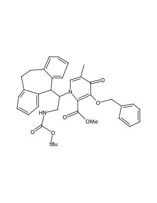 COC(=O)c1c(OCc2ccccc2)c(=O)c(C)cn1C(CNC(=O)OC(C)(C)C)C1c2ccccc2CCc2ccccc21